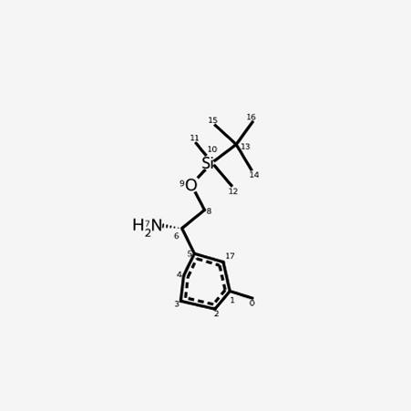 Cc1cccc([C@H](N)CO[Si](C)(C)C(C)(C)C)c1